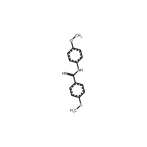 COc1ccc(NC(=N)c2ccc(SC)cc2)cc1